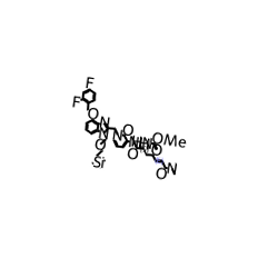 COC(=O)N[C@@H](CC/C=C/C(=O)N(C)C)C(=O)Nc1cccn(Cc2nc3c(OCc4ccc(F)cc4F)cccc3n2COCC[Si](C)(C)C)c1=O